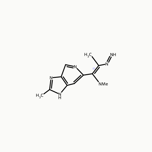 CN/C(=C(/C)N=N)c1cc2[nH]c(C)nc2cn1